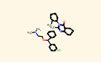 CN(C)CCOC(c1ccccc1)c1ccccc1.Cc1ccccc1-n1c(C)nc2ccccc2c1=O.Cl